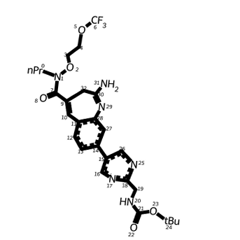 CCCN(OCCOC(F)(F)F)C(=O)C1=Cc2ccc(-c3cnc(CNC(=O)OC(C)(C)C)nc3)cc2N=C(N)C1